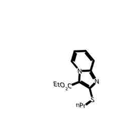 CCCSc1nc2ccccn2c1C(=O)OCC